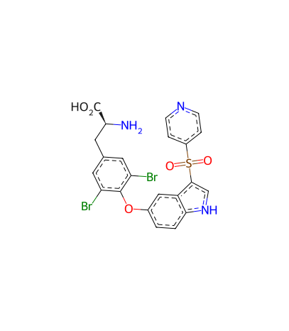 N[C@@H](Cc1cc(Br)c(Oc2ccc3[nH]cc(S(=O)(=O)c4ccncc4)c3c2)c(Br)c1)C(=O)O